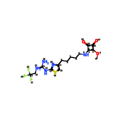 COc1c(NCCCCCc2csc(N/C(N)=N\CC(F)(F)F)n2)c(=O)c1=O